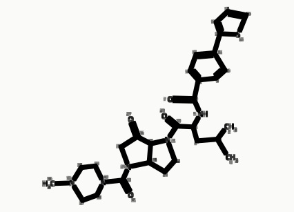 CC(C)CC(NC(=O)c1ccc(-c2cccs2)cc1)C(=O)N1CCC2C1C(=O)CN2C(=O)N1CCN(C)CC1